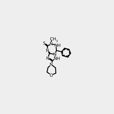 CN1NC(c2ccccc2)N2NC(N3CCOCC3)=NC2=NC1=S